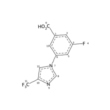 O=C(O)c1cc(F)cc(-n2cnc(C(F)(F)F)c2)c1